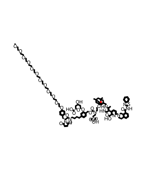 COCCOCCOCCOCCOCCOCCOCCOCCOCCOCCOCCOc1ccc(C[C@@H](C(=O)NCCCCc2ccc(COC(=O)N(CCOC34CC5(C)CC(C)(CC(CN/C(C)=C(\C=N)c6ccc(N7CCc8cccc(C(=O)Nc9nc%10ccccc%10s9)c8C7)nc6C(=O)O)(C5)C3)C4)CCS(=O)(=O)O)c(O[C@H]3C[C@@H](O)C[C@@H](C(=O)O)O3)c2)N2C(=O)C=CC2=O)cc1